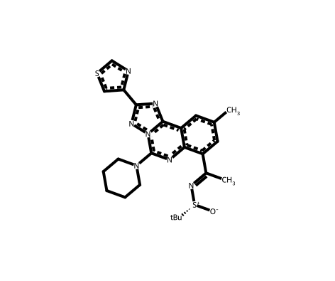 CC(=N[S@+]([O-])C(C)(C)C)c1cc(C)cc2c1nc(N1CCCCC1)n1nc(-c3cscn3)nc21